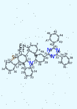 CCc1ccccc1-c1c(CC)c2sc3ccccc3c2c2c3ccccc3n(-c3ccc(-c4nc(-c5ccccc5)nc(-c5ccccc5)n4)cc3)c12